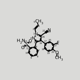 CC=Cn1nc(-c2ccccc2S(N)(=O)=O)c(-c2ccc(OC)c(F)c2)c1C#N